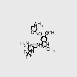 COc1cc2nc(C)nc(NCc3nc(N)cc(C(F)(F)F)n3)c2cc1OC[C@@H]1CN(C)CCO1